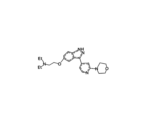 CCN(CC)CCOc1ccc2[nH]nc(-c3ccnc(N4CCOCC4)c3)c2c1